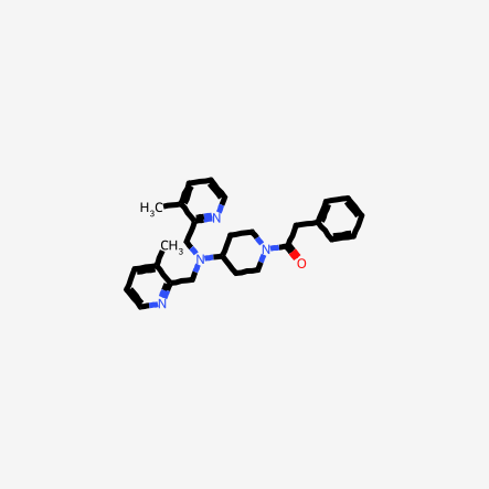 Cc1cccnc1CN(Cc1ncccc1C)C1CCN(C(=O)Cc2ccccc2)CC1